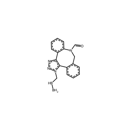 BBCn1nnc2c1-c1ccccc1CN(C=O)c1ccccc1-2